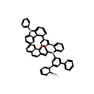 CC1CC=CC=C1c1cc(-c2ccccc2)cc(N(c2ccc3c(ccc4ccccc43)c2)c2ccccc2-c2cccc(-c3cccc4c3c3ccccc3n4-c3ccccc3)c2)c1